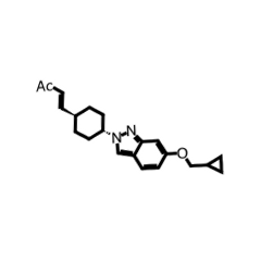 CC(=O)C=C[C@H]1CC[C@H](n2cc3ccc(OCC4CC4)cc3n2)CC1